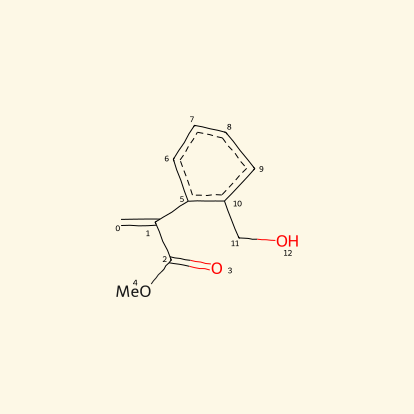 C=C(C(=O)OC)c1ccccc1CO